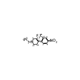 C[C](C)CN1CC=C(c2ccc([N+](=O)[O-])cc2C(F)(F)F)CC1